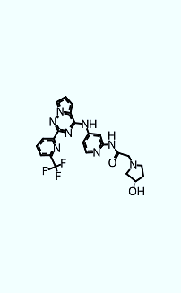 O=C(CN1CC[C@H](O)C1)Nc1cc(Nc2nc(-c3cccc(C(F)(F)F)n3)nn3cccc23)ccn1